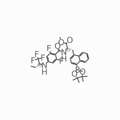 CC[C@@H](Nc1cc(F)c(C(=O)N[C@@H](Cc2ccc(B3OC(C)(C)C(C)(C)O3)c3ccccc23)C(=O)OC)c(F)c1)C(F)(F)F